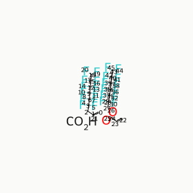 C=C(CC(F)(F)C(F)(F)C(F)(F)C(F)(F)C(F)(F)C(F)F)C(=O)O.C=CC(=O)OCC(F)(F)C(F)(F)C(F)(F)C(F)(F)C(F)(F)C(F)F